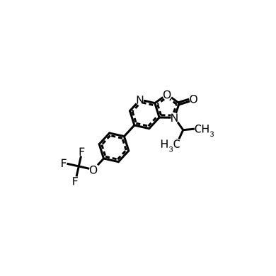 CC(C)n1c(=O)oc2ncc(-c3ccc(OC(F)(F)F)cc3)cc21